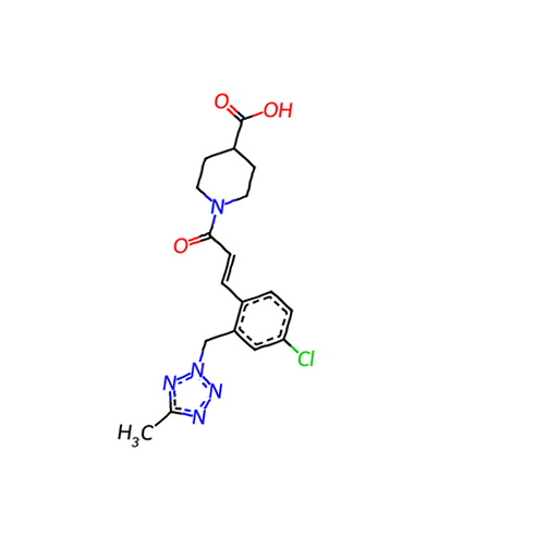 Cc1nnn(Cc2cc(Cl)ccc2C=CC(=O)N2CCC(C(=O)O)CC2)n1